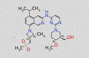 CO[C@@H]1CCN(c2nccc(Nc3cc4c(C(C)C)ccc(N5C[C@H](CS(C)(=O)=O)[C@H]5C)c4cn3)n2)C[C@H]1CO